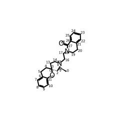 C[C@H]1C[C@]2(CCc3ccccc3O2)CCN1CCN1CCc2ccccc2C1=O